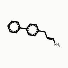 NC=CCc1ccc(-c2ccccc2)cc1